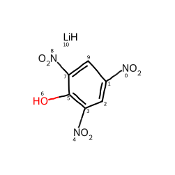 O=[N+]([O-])c1cc([N+](=O)[O-])c(O)c([N+](=O)[O-])c1.[LiH]